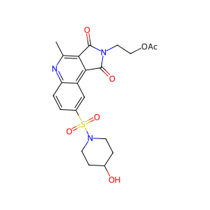 CC(=O)OCCN1C(=O)c2c(C)nc3ccc(S(=O)(=O)N4CCC(O)CC4)cc3c2C1=O